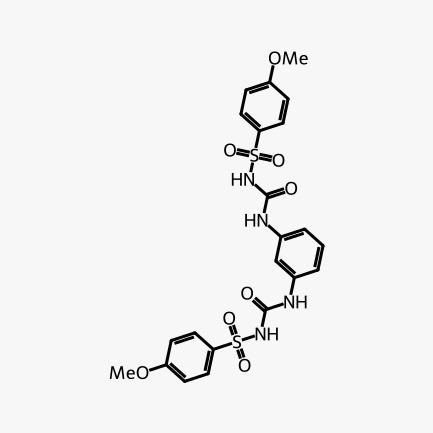 COc1ccc(S(=O)(=O)NC(=O)Nc2cccc(NC(=O)NS(=O)(=O)c3ccc(OC)cc3)c2)cc1